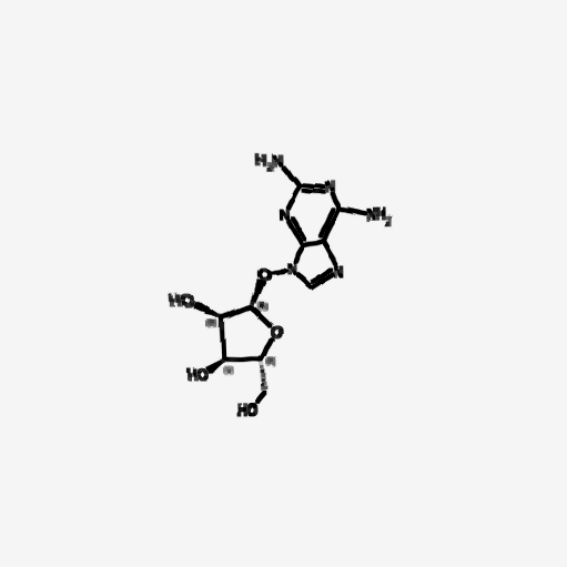 Nc1nc(N)c2ncn(O[C@H]3O[C@H](CO)[C@@H](O)[C@H]3O)c2n1